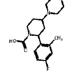 Cc1cc(F)ccc1C1CC(N2CCNCC2)CCN1C(=O)O